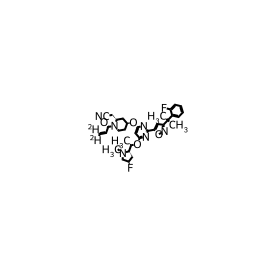 [2H]C([2H])=CC(=O)N1CC[C@H](Oc2cc(O[C@@H](C)[C@@H]3C[C@H](F)CN3C)nc(-c3cc(C(C)(C)c4ccccc4F)no3)n2)C[C@H]1CC#N